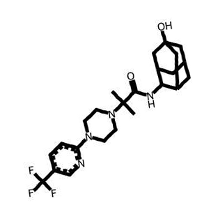 CC(C)(C(=O)NC1C2CC3CC1CC(O)(C3)C2)N1CCN(c2ccc(C(F)(F)F)cn2)CC1